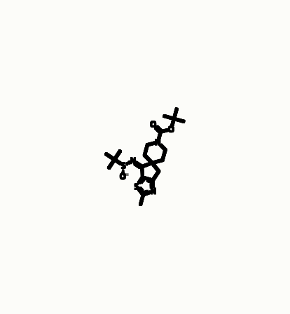 Cc1nc2c(s1)C(=N[S@+]([O-])C(C)(C)C)C1(CCN(C(=O)OC(C)(C)C)CC1)C2